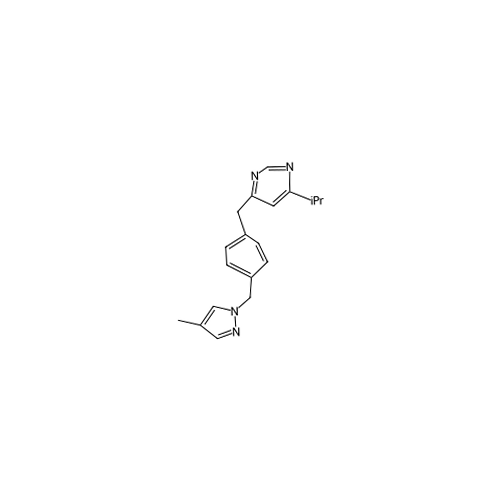 Cc1cnn(Cc2ccc(Cc3cc(C(C)C)ncn3)cc2)c1